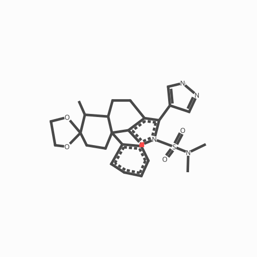 CC1C2CCc3c(nn(S(=O)(=O)N(C)C)c3C3=C[N]N=C3)C2(c2ccccc2)CCC12OCCO2